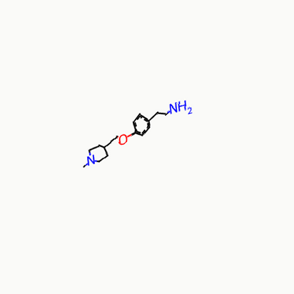 CN1CCC(COc2ccc(CCN)cc2)CC1